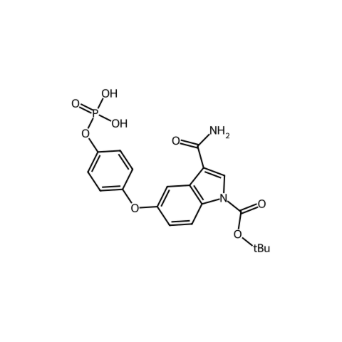 CC(C)(C)OC(=O)n1cc(C(N)=O)c2cc(Oc3ccc(OP(=O)(O)O)cc3)ccc21